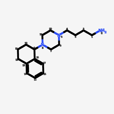 NCCCCN1CCN(C2CCCc3ccccc32)CC1